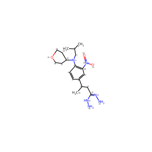 CC(C)CN(c1ccc(C(C)C/C(=N/N)NN)cc1[N+](=O)[O-])C1CCOCC1